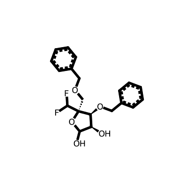 OC1O[C@@](COCc2ccccc2)(C(F)F)[C@@H](OCc2ccccc2)[C@H]1O